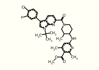 COC(=O)c1c(C)cc(NC2CCN(C(=O)c3ccc4c(-c5ccc(Cl)c(F)c5)cn(C(C)(C)C)c4n3)CC2C)nc1C